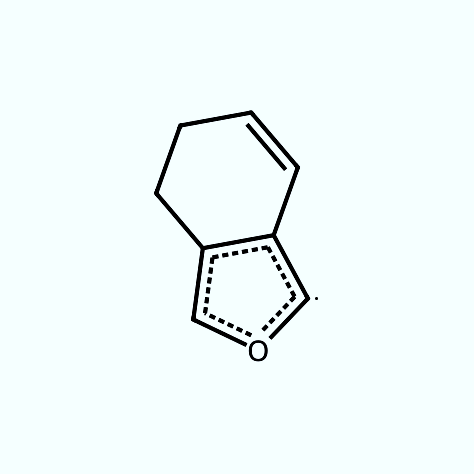 [c]1occ2c1C=CCC2